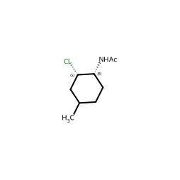 CC(=O)N[C@@H]1CCC(C)C[C@@H]1Cl